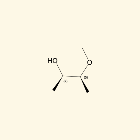 CO[C@@H](C)[C@@H](C)O